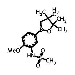 COc1ccc(B2CC(C)(C)C(C)(C)O2)cc1NS(C)(=O)=O